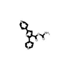 NC(=O)OC(=O)c1cc(-c2ccncc2)sc1-c1ccncc1